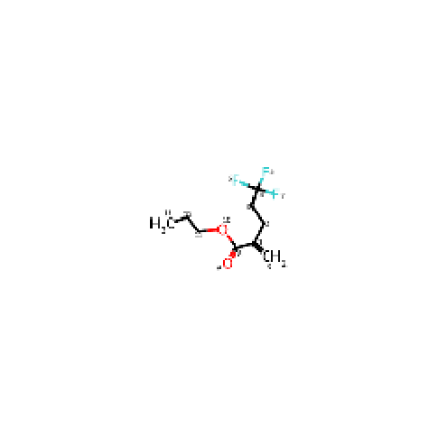 C=C(CCC(F)(F)F)C(=O)OCCC